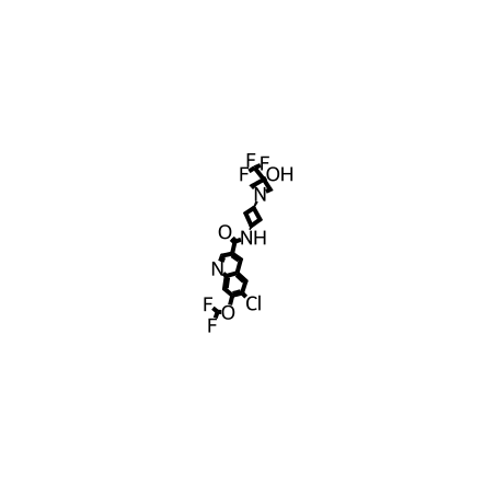 O=C(N[C@H]1C[C@H](N2CC(O)(C(F)(F)F)C2)C1)c1cnc2cc(OC(F)F)c(Cl)cc2c1